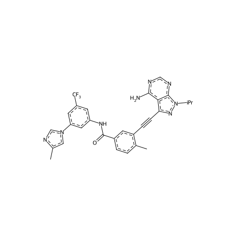 Cc1cn(-c2cc(NC(=O)c3ccc(C)c(C#Cc4nn(C(C)C)c5ncnc(N)c45)c3)cc(C(F)(F)F)c2)cn1